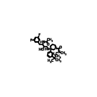 CC(=O)NC(Cc1cc(F)cc(F)c1)C(O)CNC1(c2cccc(C(C)(C)C)c2)CCCN(C(=O)N(C)C)C1